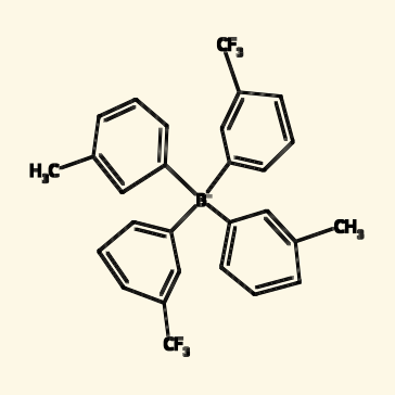 Cc1cccc([B-](c2cccc(C)c2)(c2cccc(C(F)(F)F)c2)c2cccc(C(F)(F)F)c2)c1